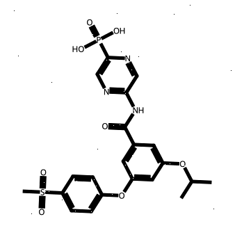 CC(C)Oc1cc(Oc2ccc(S(C)(=O)=O)cc2)cc(C(=O)Nc2cnc(P(=O)(O)O)cn2)c1